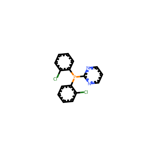 Clc1ccccc1P(c1ncccn1)c1ccccc1Cl